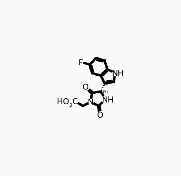 O=C(O)CN1C(=O)N[C@@H](c2c[nH]c3ccc(F)cc23)C1=O